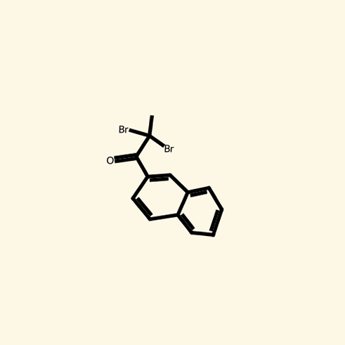 CC(Br)(Br)C(=O)c1ccc2ccccc2c1